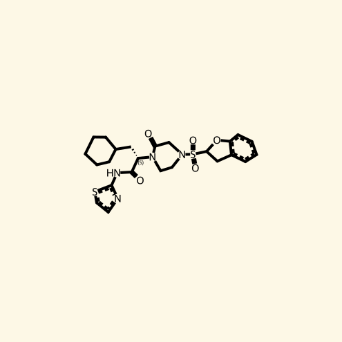 O=C(Nc1nccs1)[C@H](CC1CCCCC1)N1CCN(S(=O)(=O)C2Cc3ccccc3O2)CC1=O